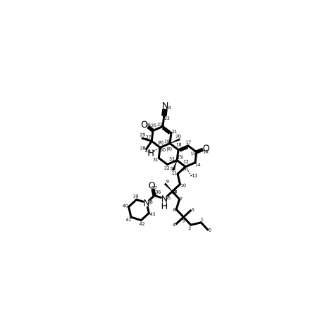 CCCC(C)(C)CC[C@@](C)(CC[C@]1(C)CC(=O)C=C2[C@@]3(C)C=C(C#N)C(=O)C(C)(C)[C@@H]3CC[C@]21C)NC(=O)N1CCCCC1